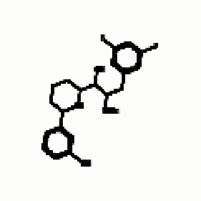 CC(=O)NC(Cc1cc(F)cc(F)c1)C(O)C1CCCC(c2cccc(C(C)(C)C)c2)N1